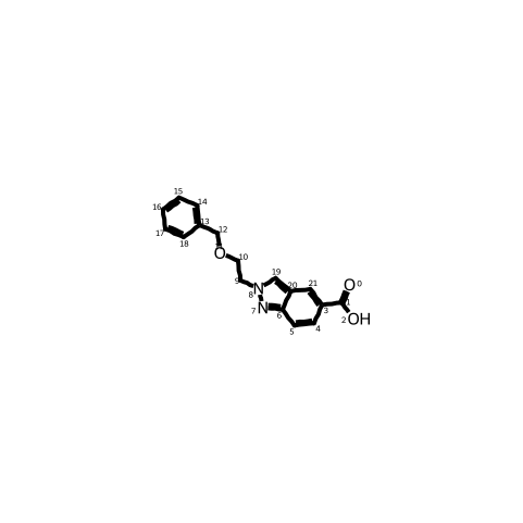 O=C(O)c1ccc2nn(CCOCc3ccccc3)cc2c1